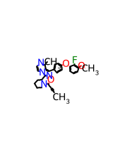 CC#CC(=O)N1CCCCC1c1nc(-c2ccc(Oc3cccc(OC)c3F)cc2)c2c(C)nccn12